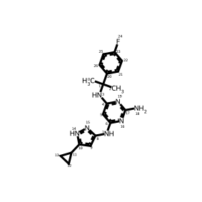 CC(C)(Nc1cc(Nc2cc(C3CC3)[nH]n2)nc(N)n1)c1ccc(F)cc1